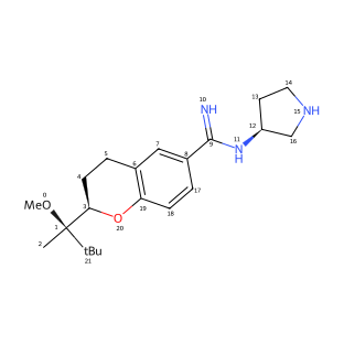 CO[C@@](C)([C@H]1CCc2cc(C(=N)N[C@H]3CCNC3)ccc2O1)C(C)(C)C